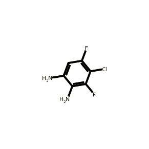 Nc1cc(F)c(Cl)c(F)c1N